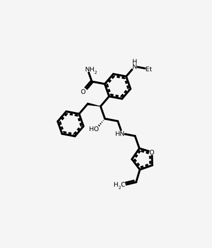 C=Cc1coc(CNC[C@H](O)[C@@H](Cc2ccccc2)c2ccc(NCC)cc2C(N)=O)c1